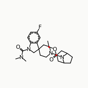 CCOC(=O)N1C2CCC1CC(N1CCC3(CC1)CN(C(=O)N(C)C)c1ccc(F)cc13)C2